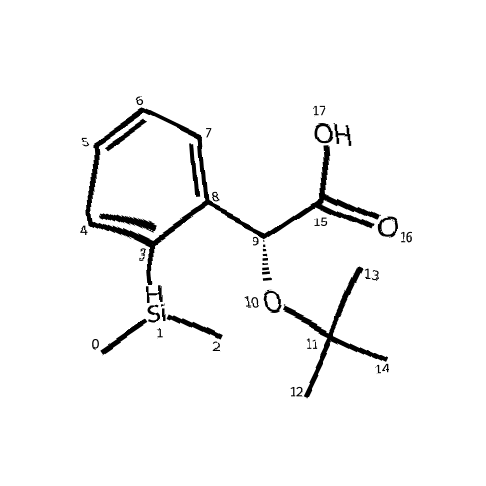 C[SiH](C)c1ccccc1[C@@H](OC(C)(C)C)C(=O)O